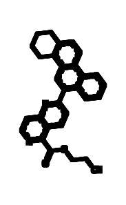 N#CCCOC(=O)c1nccc2nc(-c3cc4c5c(ccc4c4ccccc34)CCCC5)ccc12